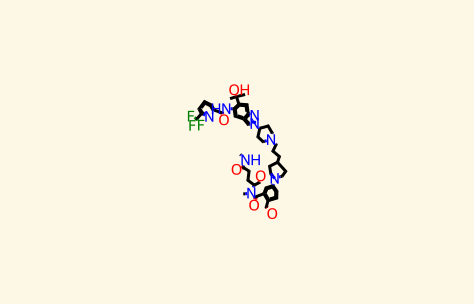 CNC(=O)CCC(C=O)N(C)C(=O)c1cc(N2CCC(CCCN3CCC(n4cc5cc(NC(=O)c6cccc(C(F)(F)F)n6)c(C(C)(C)O)cc5n4)CC3)CC2)ccc1C=O